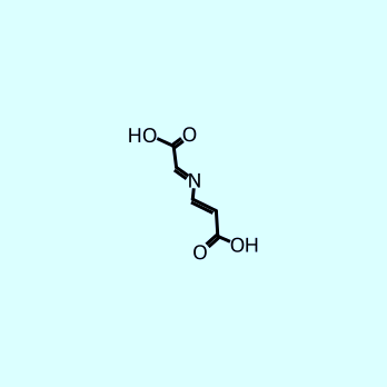 O=C(O)C=CN=CC(=O)O